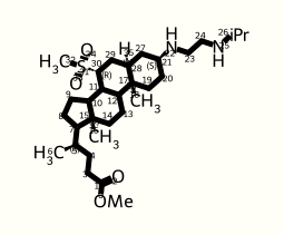 COC(=O)CC[C@@H](C)C1CCC2C3C(CC[C@@]21C)[C@@]1(C)CC[C@H](NCCNC(C)C)C[C@@H]1C[C@H]3S(C)(=O)=O